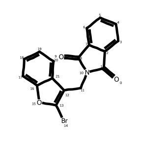 O=C1c2ccccc2C(=O)N1Cc1c(Br)oc2ccccc12